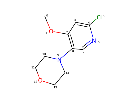 COc1cc(Cl)ncc1N1CCOCC1